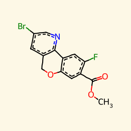 COC(=O)c1cc2c(cc1F)-c1ncc(Br)cc1CO2